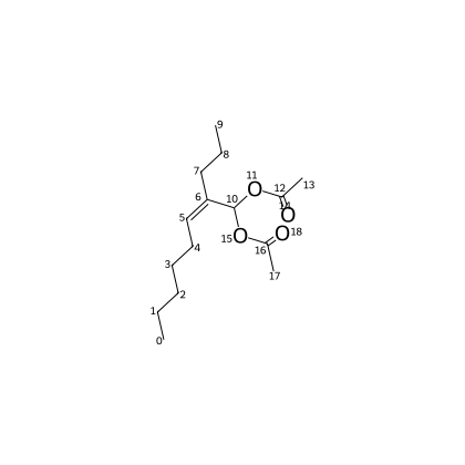 CCCCCC=C(CCC)C(OC(C)=O)OC(C)=O